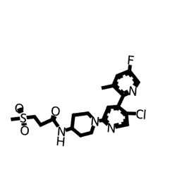 Cc1cc(F)cnc1-c1cc(N2CCC(NC(=O)CCS(C)(=O)=O)CC2)ncc1Cl